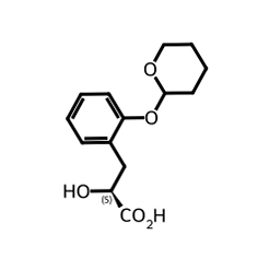 O=C(O)[C@@H](O)Cc1ccccc1OC1CCCCO1